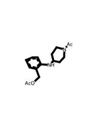 CC(=O)OCc1ccccc1NC1CCN(C(C)=O)CC1